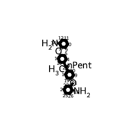 CCCCCC(C)(c1ccc(Oc2ccccc2N)cc1)c1ccc(Oc2ccccc2N)cc1